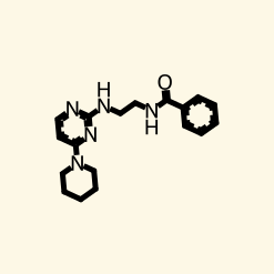 O=C(NCCNc1nccc(N2CCCCC2)n1)c1ccccc1